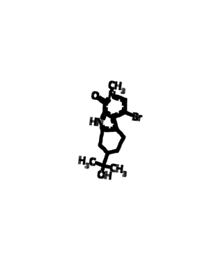 Cn1cc(Br)c2c3c([nH]c2c1=O)CC(C(C)(C)O)CC3